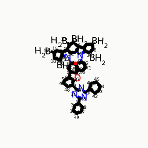 Bc1cc(B)c2c(c1)c1c(B)c(B)c3c4cc(B)cc(B)c4n(-c4ccc5oc6c(-c7nc(-c8ccccc8)nc(-c8ccccc8)n7)cccc6c5c4)c3c1n2-c1ccccc1